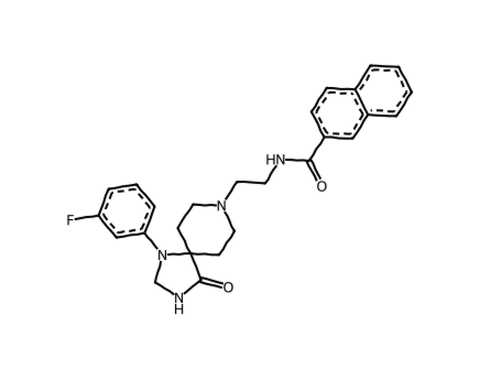 O=C(NCCN1CCC2(CC1)C(=O)NCN2c1cccc(F)c1)c1ccc2ccccc2c1